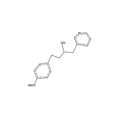 COc1ccc(CCC(O)Cc2cccnc2)cc1